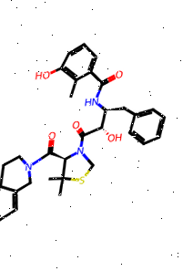 Cc1c(O)cccc1C(=O)N[C@@H](Cc1ccccc1)[C@H](O)C(=O)N1CSC(C)(C)[C@H]1C(=O)N1CCc2ccccc2C1